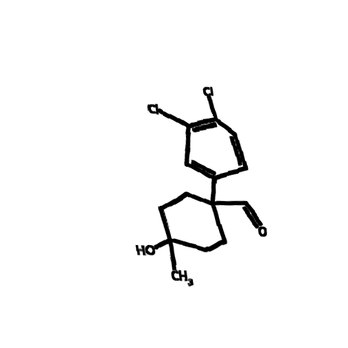 CC1(O)CCC(C=O)(c2ccc(Cl)c(Cl)c2)CC1